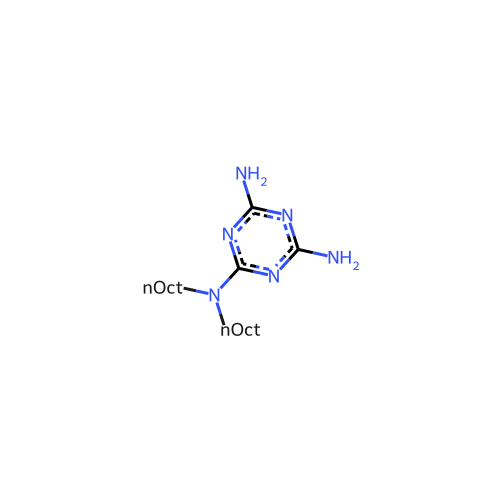 CCCCCCCCN(CCCCCCCC)c1nc(N)nc(N)n1